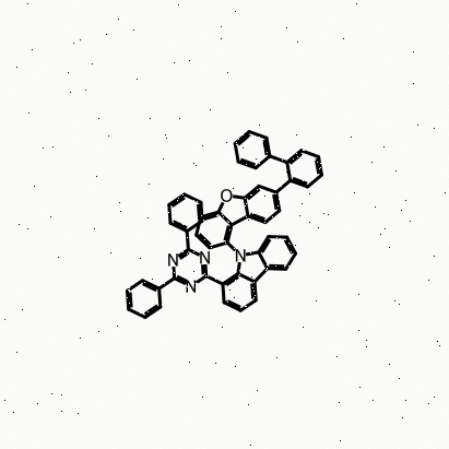 c1ccc(-c2nc(-c3ccccc3)nc(-c3cccc4c5ccccc5n(-c5cccc6oc7cc(-c8ccccc8-c8ccccc8)ccc7c56)c34)n2)cc1